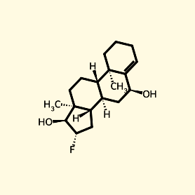 C[C@]12CC[C@H]3[C@@H](C[C@H](O)C4=CCCC[C@@]43C)[C@@H]1C[C@H](F)[C@H]2O